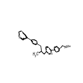 CNCc1ccc(-c2ccc(CC(C)Cc3ccc(-c4cccnc4)cc3)cn2)cc1